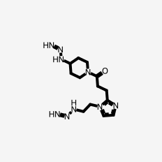 N=NNCCn1ccnc1CCC(=O)N1CCC(NN=N)CC1